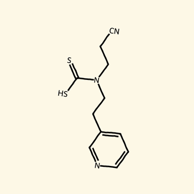 N#CCCN(CCc1cccnc1)C(=S)S